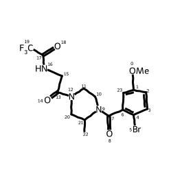 COc1ccc(Br)c(C(=O)N2CCN(C(=O)CNC(=O)C(F)(F)F)CC2C)c1